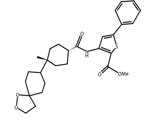 COC(=O)c1sc(-c2ccccc2)cc1NC(=O)[C@H]1CC[C@@](C)(C2CCC3(CCOO3)CC2)CC1